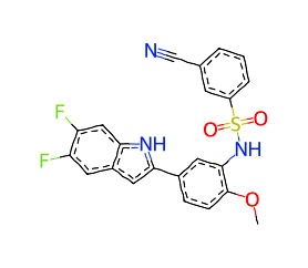 COc1ccc(-c2cc3cc(F)c(F)cc3[nH]2)cc1NS(=O)(=O)c1cccc(C#N)c1